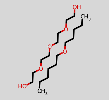 CCCCCCOCCCCC.OCCOCCOCCOCCO